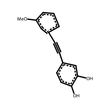 COc1cccc(C#Cc2ccc(O)c(O)c2)c1